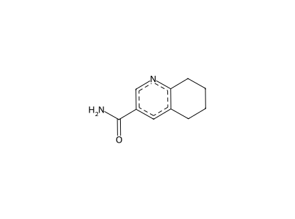 NC(=O)c1cnc2c(c1)CCCC2